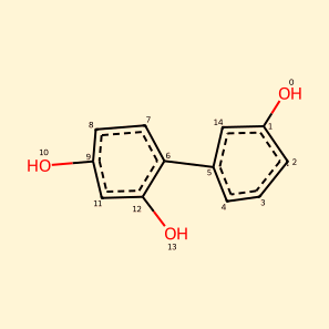 Oc1[c]ccc(-c2ccc(O)cc2O)c1